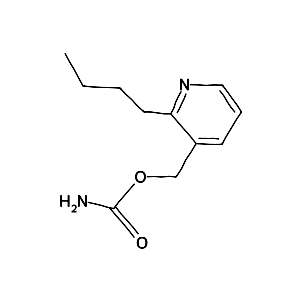 CCCCc1ncccc1COC(N)=O